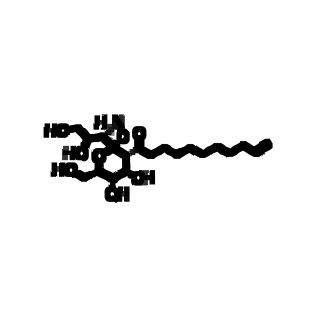 C=CCCCCCCCCC(=O)[C@@H]1[C@@H](O)[C@H](O)[C@@H](CO)OC1(CC(O)CO)ON